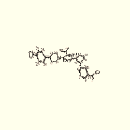 CC(=O)c1cccc(-c2cccc(C(=O)N[C@@H](C(=O)N3CCC(c4ccc(Cl)cc4)CC3)C(C)C)c2)c1